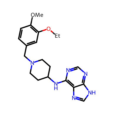 CCOc1cc(CN2CCC(Nc3ncnc4[nH]cnc34)CC2)ccc1OC